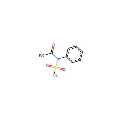 CS(=O)(=O)N(C(=O)C(F)(F)F)c1ccccc1